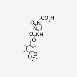 Cc1c(C)c2c(c(C)c1COC(=O)Nc1ccn(CC(=O)O)c(=O)n1)OC(C)(C)O2